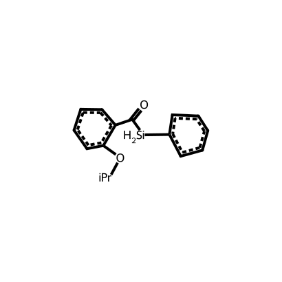 CC(C)Oc1ccccc1C(=O)[SiH2]c1ccccc1